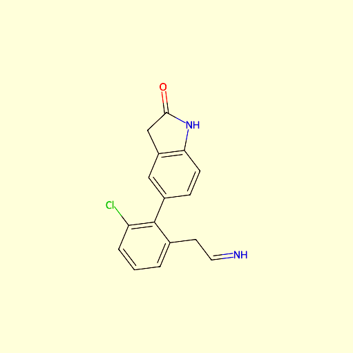 N=CCc1cccc(Cl)c1-c1ccc2c(c1)CC(=O)N2